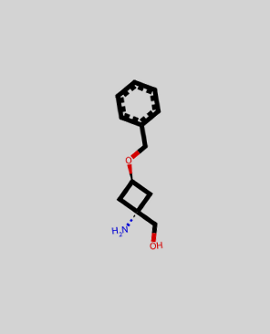 N[C@]1(CO)C[C@@H](OCc2ccccc2)C1